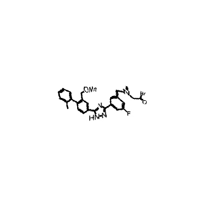 COCc1cc(-c2nc(-c3cc(F)cc(CN(C)CC(=O)Br)c3)n[nH]2)ccc1-c1ccccc1C